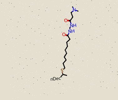 CCCCCCCCCCC(C)SCCCCCCCCCC(=O)NCNC(=O)CCN(C)C